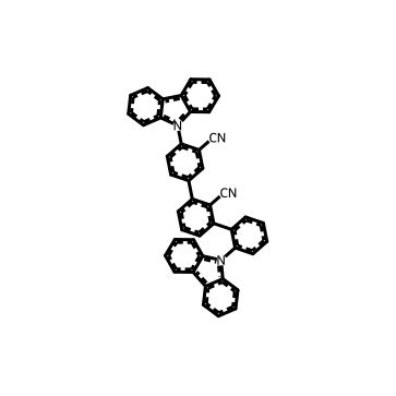 N#Cc1cc(-c2cccc(-c3ccccc3-n3c4ccccc4c4ccccc43)c2C#N)ccc1-n1c2ccccc2c2ccccc21